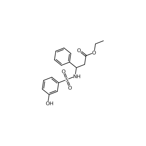 CCOC(=O)CC(NS(=O)(=O)c1cccc(O)c1)c1ccccc1